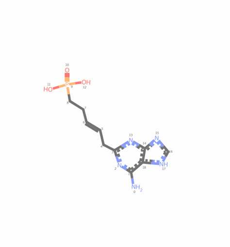 Nc1nc(CC=CCCP(=O)(O)O)nc2nc[nH]c12